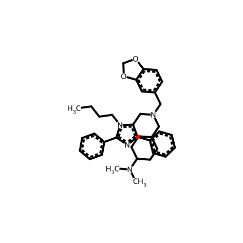 CCCCn1c(-c2ccccc2)nc(-c2ccccc2)c1CN(Cc1ccc2c(c1)OCO2)CC1CCC(N(C)C)CC1